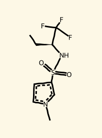 CC[C@H](NS(=O)(=O)c1ccn(C)c1)C(F)(F)F